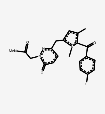 CNC(=O)Cn1nc(Cc2cc(C)c(C(=O)c3ccc(Cl)cc3)n2C)ccc1=O